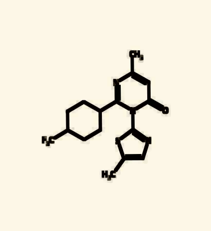 Cc1cc(=O)n(-c2ncc(C)s2)c(C2CCC(C(F)(F)F)CC2)n1